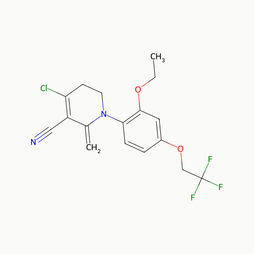 C=C1C(C#N)=C(Cl)CCN1c1ccc(OCC(F)(F)F)cc1OCC